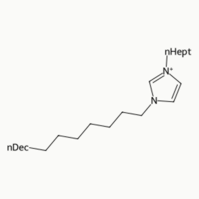 CCCCCCCCCCCCCCCCCn1cc[n+](CCCCCCC)c1